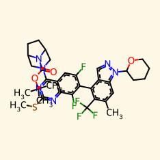 CSc1nc(N2CC3CCC(C2)N3C(=O)OC(C)(C)C)c2cc(F)c(-c3c(C(F)(F)F)c(C)cc4c3cnn4C3CCCCO3)c(F)c2n1